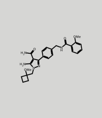 COc1ccccc1C(=O)NCc1ccc(-c2nn(CC3(OC)CCC3)c(N)c2C(N)=O)cc1